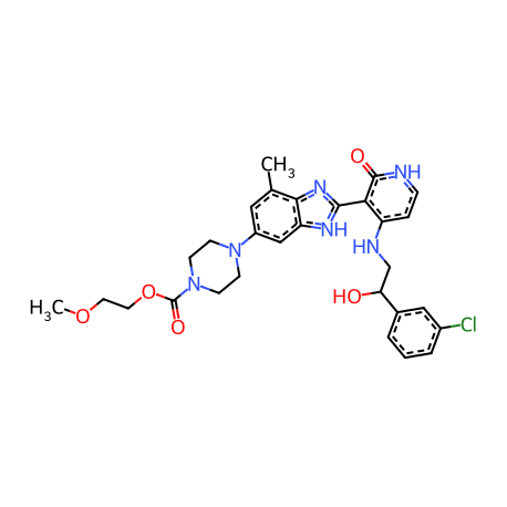 COCCOC(=O)N1CCN(c2cc(C)c3nc(-c4c(NCC(O)c5cccc(Cl)c5)cc[nH]c4=O)[nH]c3c2)CC1